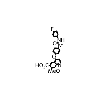 COc1cc2nccc(Oc3ccc(N(C)C(=O)Nc4ccc(F)cc4)cc3)c2cc1C(=O)O